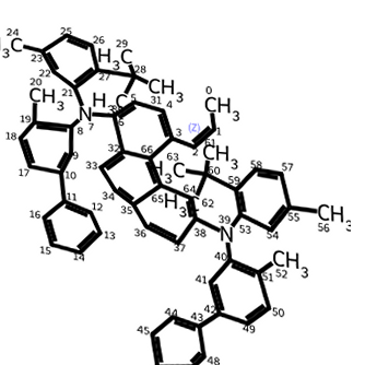 C/C=C\c1ccc(N(c2cc(-c3ccccc3)ccc2C)c2cc(C)ccc2C(C)(C)C)c2ccc3ccc(N(c4cc(-c5ccccc5)ccc4C)c4cc(C)ccc4C(C)(C)C)cc3c12